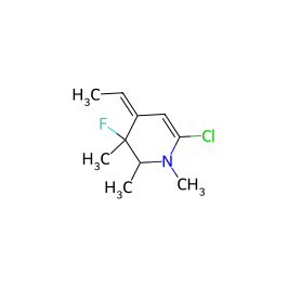 C/C=C1/C=C(Cl)N(C)C(C)C1(C)F